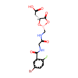 O=C(O)C[C@H]1OB(CNC(=O)CNC(=O)c2cc(Br)ccc2F)OC1=O